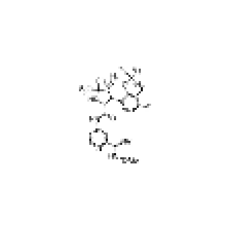 [2H]C([2H])([2H])Oc1c([C@H]2[C@H](C(=O)Nc3ccnc(C(=N)NOC)c3)N[C@@](C)(C(F)(F)F)[C@H]2C)ccc(F)c1F